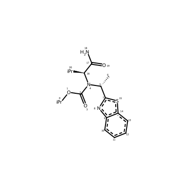 CC(C)OC(=O)N([C@H](C)c1nc2ccccc2s1)[C@H](C(N)=O)C(C)C